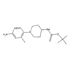 Cc1cc(N)ccc1N1CCC(NC(=O)OC(C)(C)C)CC1